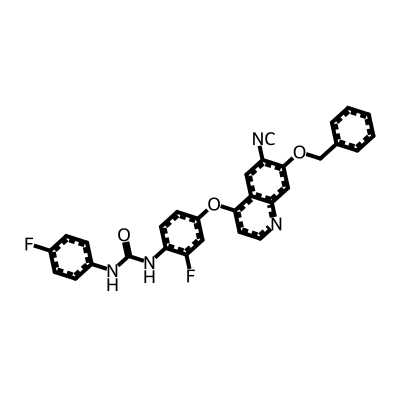 [C-]#[N+]c1cc2c(Oc3ccc(NC(=O)Nc4ccc(F)cc4)c(F)c3)ccnc2cc1OCc1ccccc1